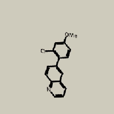 COc1ccc(-c2ccc3ncccc3c2)c(Cl)c1